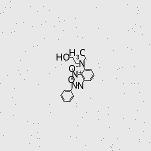 CCN(CCO)c1cccc(N=Nc2ccccc2)c1[N+](=O)[O-]